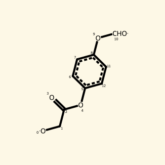 [O]CC(=O)Oc1ccc(O[C]=O)cc1